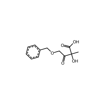 CC(O)(C(=O)O)C(=O)COCc1ccccc1